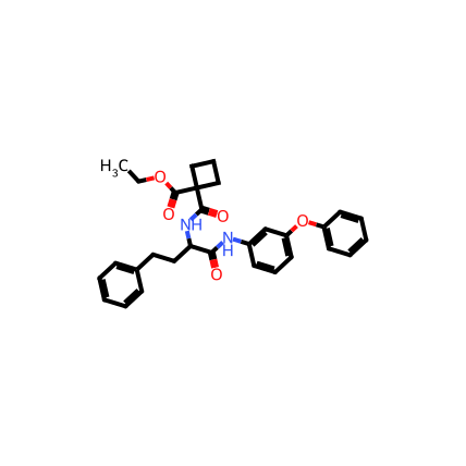 CCOC(=O)C1(C(=O)NC(CCc2ccccc2)C(=O)Nc2cccc(Oc3ccccc3)c2)CCC1